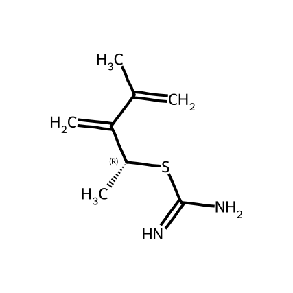 C=C(C)C(=C)[C@@H](C)SC(=N)N